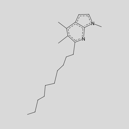 CCCCCCCCCCc1nc2c(ccn2C)c(C)c1C